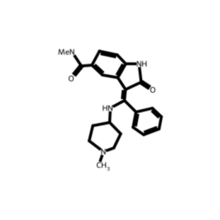 CNC(=O)c1ccc2c(c1)C(=C(NC1CCN(C)CC1)c1ccccc1)C(=O)N2